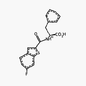 O=C(N[C@@H](Cc1ccccc1)C(=O)O)c1cc2ccc(F)cc2s1